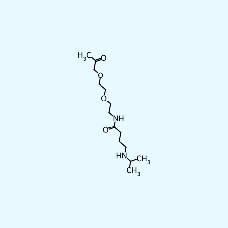 CC(=O)COCCOCCNC(=O)CCCNC(C)C